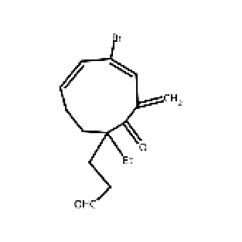 C=C1/C=C(Br)\C=C/CCC(CC)(CCC=O)C1=O